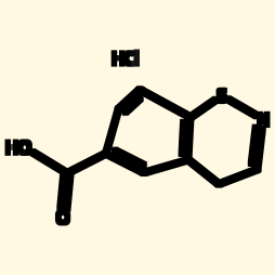 Cl.O=C(O)c1ccc2c(c1)CC=NS2